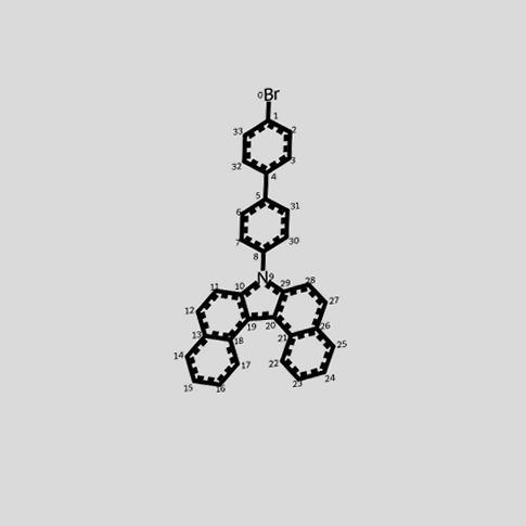 Brc1ccc(-c2ccc(-n3c4ccc5ccccc5c4c4c5ccccc5ccc43)cc2)cc1